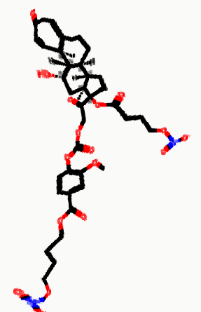 COc1cc(C(=O)OCCCCO[N+](=O)[O-])ccc1OC(=O)OCC(=O)[C@@]1(OC(=O)CCCO[N+](=O)[O-])CC[C@H]2[C@@H]3CCC4=CC(=O)C=C[C@]4(C)[C@H]3[C@@H](O)C[C@@]21C